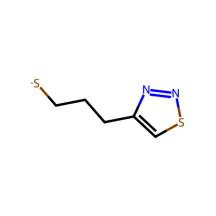 [S]CCCc1csnn1